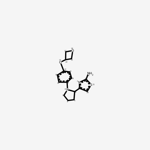 Nc1nc(C2CCCN2c2ccc(OC3COC3)cc2)cs1